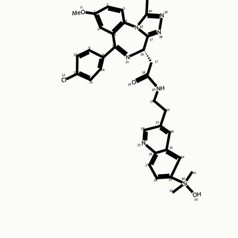 COc1ccc2c(c1)C(c1ccc(Cl)cc1)=N[C@@H](CC(=O)NCCc1cnc3ccc([Si](C)(C)O)cc3c1)c1nnc(C)n1-2